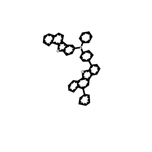 c1ccc(-c2cc3c4cccc(-c5ccc(N(c6ccccc6)c6ccc7oc8c9ccccc9ccc8c7c6)cc5)c4oc3c3ccccc23)cc1